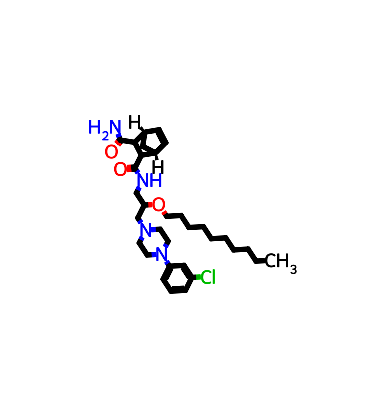 CCCCCCCCCCOC(CNC(=O)C1C(C(N)=O)[C@@H]2C=C[C@H]1C2)CN1CCN(c2cccc(Cl)c2)CC1